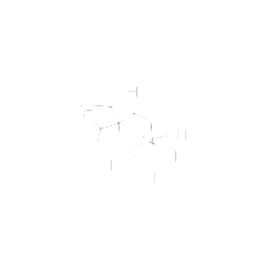 CC(Cl)C1(C(C)Cl)CC[Si](C)(C)[Si](C)(C)O1